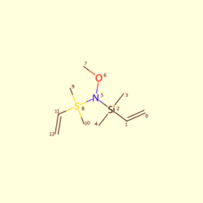 C=C[Si](C)(C)N(OC)S(C)(C)C=C